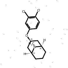 CN1[C@@H]2CCC[C@H]1C[C@@H](Oc1ccc(Cl)c(Cl)c1)C2